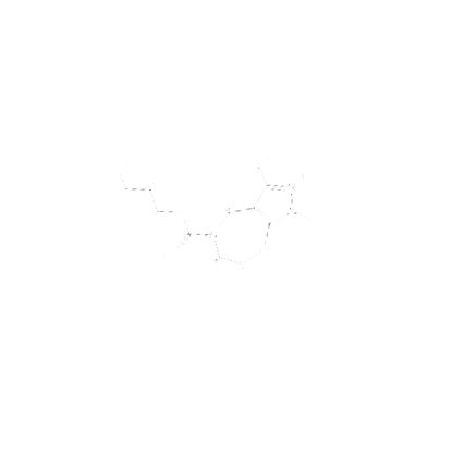 CCCCOC(=O)N1CCOc2c(c(I)nn2C)C1